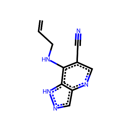 C=CCNc1c(C#N)cnc2cn[nH]c12